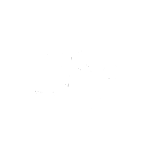 COC(=O)CNC(=O)C1(C)C(c2ccc(C)o2)C(c2ccc(F)cc2F)=NN1c1ccc(P)cc1P